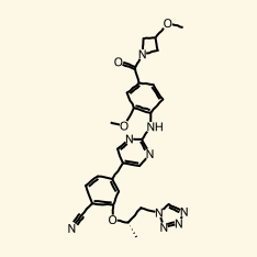 COc1cc(C(=O)N2CC(OC)C2)ccc1Nc1ncc(-c2ccc(C#N)c(O[C@@H](C)Cn3cnnn3)c2)cn1